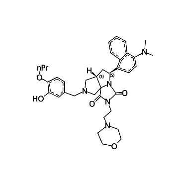 CCCOc1ccc(CN2C[C@@H]3C[C@@H](c4ccc(N(C)C)c5ccccc45)N4C(=O)N(CCN5CCOCC5)C(=O)C34C2)cc1O